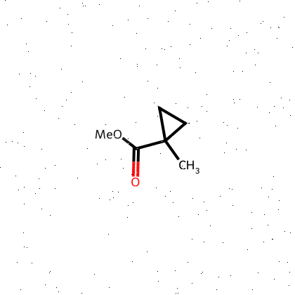 COC(=O)C1(C)[CH]C1